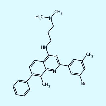 Cc1c(-c2ccccc2)ccc2c(NCCCN(C)C)nc(-c3cc(Br)cc(C(F)(F)F)c3)nc12